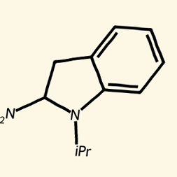 CC(C)N1c2ccccc2CC1N